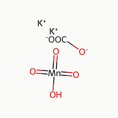 O=C([O-])[O-].[K+].[K+].[O]=[Mn](=[O])(=[O])[OH]